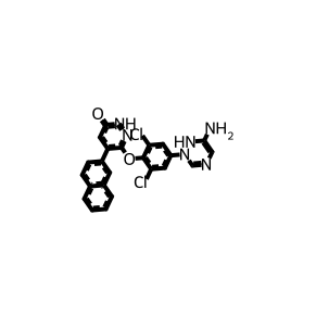 NC1=CN=CN(c2cc(Cl)c(Oc3n[nH]c(=O)cc3-c3ccc4ccccc4c3)c(Cl)c2)N1